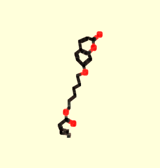 C=CC(=O)OCCCCCCOc1ccc2ccc(=O)oc2c1